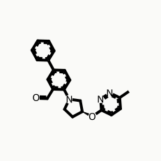 Cc1ccc(O[C@H]2CCN(c3ccc(-c4ccccc4)cc3C=O)C2)nn1